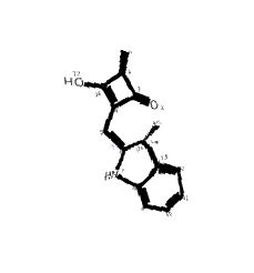 C=C1C(=O)C(/C=C2/Nc3ccccc3[C@@H]2C)=C1O